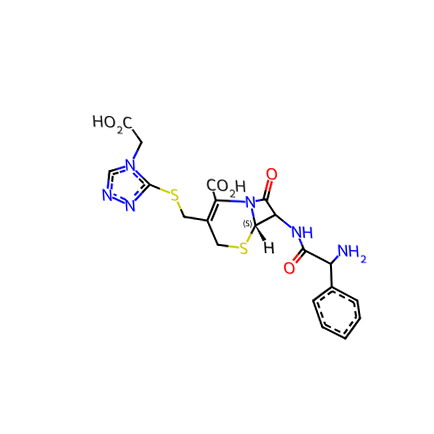 NC(C(=O)NC1C(=O)N2C(C(=O)O)=C(CSc3nncn3CC(=O)O)CS[C@@H]12)c1ccccc1